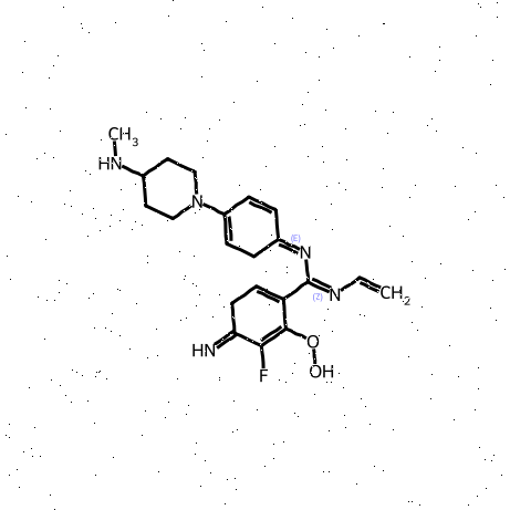 C=C/N=C(\N=C1\C=CC(N2CCC(NC)CC2)=CC1)C1=CCC(=N)C(F)=C1OO